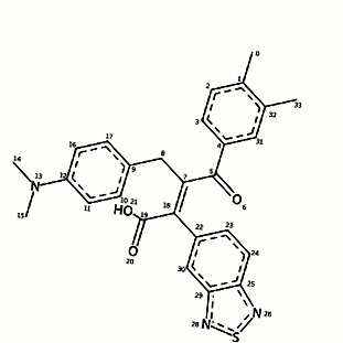 Cc1ccc(C(=O)C(Cc2ccc(N(C)C)cc2)=C(C(=O)O)c2ccc3nsnc3c2)cc1C